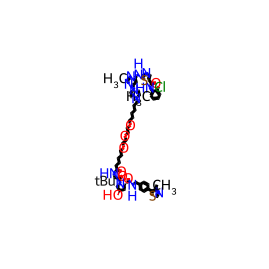 Cc1nc(Nc2ncc(C(=O)Nc3c(C)cccc3Cl)s2)cc(N2CCN(CCCCCCOCCOCCOCCCCCC(=O)N[C@H](C(=O)N3C[C@H](O)C[C@H]3C(=O)NCc3ccc(-c4scnc4C)cc3)C(C)(C)C)CC2)n1